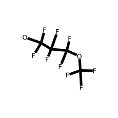 [O]C(F)(F)C(F)(F)C(F)(F)OC(F)(F)F